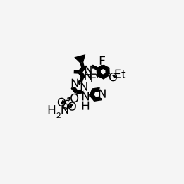 CCOc1cc(F)c(Cn2nc(-c3ncc(OCS(N)(=O)=O)c(Nc4ccncc4)n3)c(C)c2C2CC2)c(F)c1